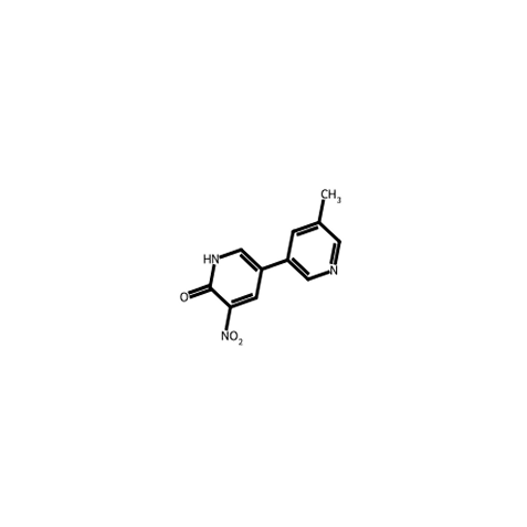 Cc1cncc(-c2c[nH]c(=O)c([N+](=O)[O-])c2)c1